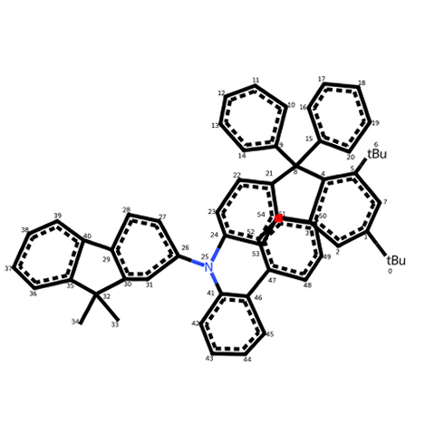 CC(C)(C)c1cc2c(c(C(C)(C)C)c1)C(c1ccccc1)(c1ccccc1)c1ccc(N(c3ccc4c(c3)C(C)(C)c3ccccc3-4)c3ccccc3-c3ccccc3)cc1-2